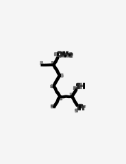 COC(C)CCC(C)C(S)C(C)C